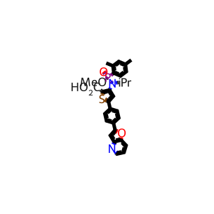 COP(=O)(c1ccc(C)cc1C)N(c1cc(-c2ccc(-c3cc4ncccc4o3)cc2)sc1C(=O)O)C(C)C